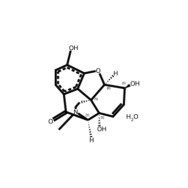 CN1CC[C@]23c4c5ccc(O)c4O[C@H]2[C@@H](O)C=C[C@@]3(O)[C@H]1C5=O.O